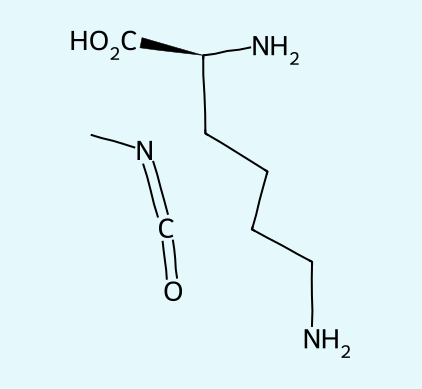 CN=C=O.NCCCC[C@H](N)C(=O)O